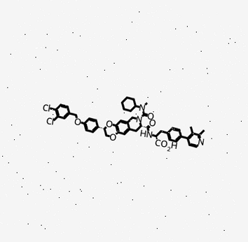 Cc1nccc(-c2ccc(C[C@H](NC(=O)[C@@H]3Cc4cc5c(cc4CN3C(=O)N(C)C3CCCCC3)O[C@@H](c3ccc(OCc4ccc(Cl)c(Cl)c4)cc3)CO5)C(=O)O)cc2)c1C